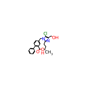 CCCCc1nc(CO)c(Cl)n1Cc1ccc(-c2ccccc2)c(C(=O)O)c1